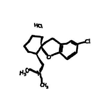 CN(C)C[C@H]1CCCC[C@]12Cc1cc(Cl)ccc1O2.Cl